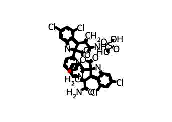 C=C(C(N)=O)C1=c2c(Cl)cc(Cl)cc2=NC1(C(=O)OC(=O)C1(c2ccccn2)N=c2cc(Cl)cc(Cl)c2=C1C(=C)C(N)=O)c1ccccn1.O=S(=O)(O)O